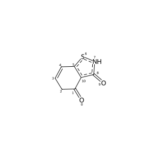 O=C1CC=Cc2s[nH]c(=O)c21